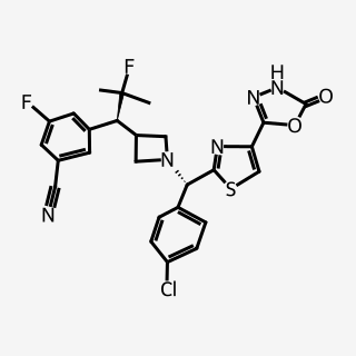 CC(C)(F)[C@H](c1cc(F)cc(C#N)c1)C1CN([C@@H](c2ccc(Cl)cc2)c2nc(-c3n[nH]c(=O)o3)cs2)C1